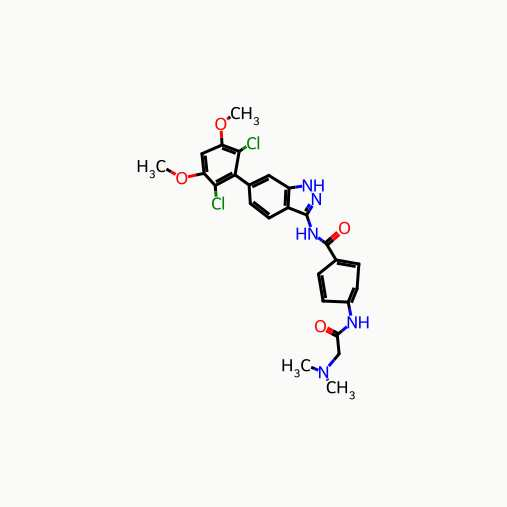 COc1cc(OC)c(Cl)c(-c2ccc3c(NC(=O)c4ccc(NC(=O)CN(C)C)cc4)n[nH]c3c2)c1Cl